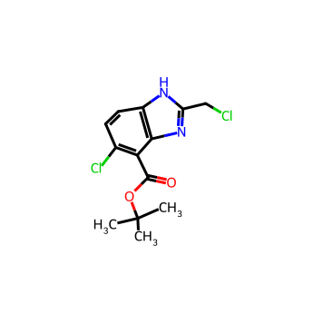 CC(C)(C)OC(=O)c1c(Cl)ccc2[nH]c(CCl)nc12